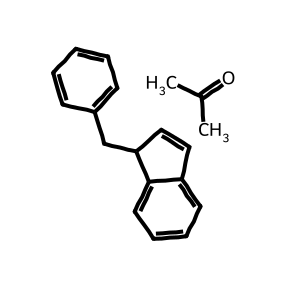 C1=CC(Cc2ccccc2)c2ccccc21.CC(C)=O